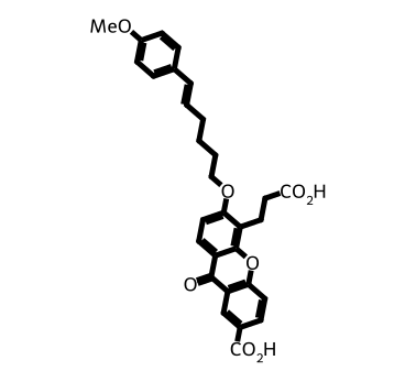 COc1ccc(/C=C/CCCCOc2ccc3c(=O)c4cc(C(=O)O)ccc4oc3c2CCC(=O)O)cc1